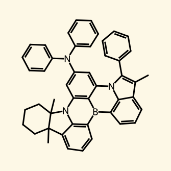 Cc1c(-c2ccccc2)n2c3c(cccc13)B1c3cccc4c3N(c3cc(N(c5ccccc5)c5ccccc5)cc-2c31)C1(C)CCCCC41C